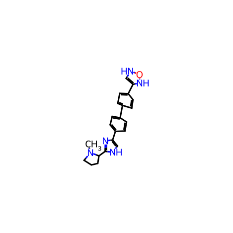 CN1CCCC1c1nc(-c2ccc(-c3ccc(C4=CNON4)cc3)cc2)c[nH]1